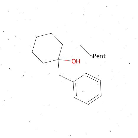 CCCCCC.OC1(Cc2ccccc2)CCCCC1